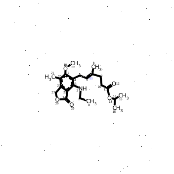 CCNc1c(C/C=C(\C)CCC(=O)OC(C)C)c(OC)c(C)c2c1C(=O)OC2